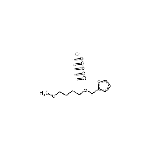 COCCCCO[C]c1cccs1.[C]=O.[C]=O.[C]=O.[C]=O.[C]=O.[Cr]